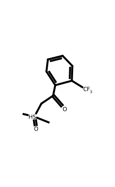 C[SH](C)(=O)CC(=O)c1ccccc1C(F)(F)F